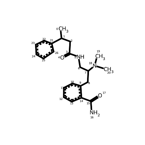 CC(CC(=O)NCC(Cc1ccccc1C(N)=O)N(C)C)c1ccccc1